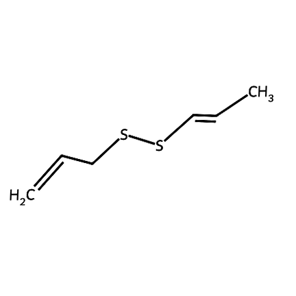 C=CCSSC=CC